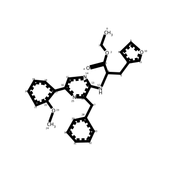 CCOC(=O)C(Cc1ccoc1)Nc1ncc(-c2ccccc2OC)nc1Cc1ccccc1